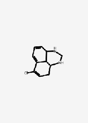 ClC1=CCC2NCNC3C=CC=C1C32